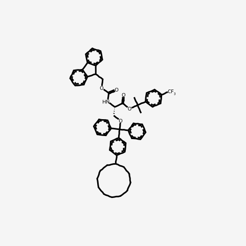 CC(C)(OC(=O)[C@H](COC(c1ccccc1)(c1ccccc1)c1ccc(C2CCCCCCCCCCC2)cc1)NC(=O)OCC1c2ccccc2-c2ccccc21)c1ccc(C(F)(F)F)cc1